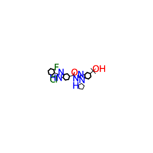 CC(C)(O)c1ccc2c(c1)nc(NC(=O)c1ccc3[nH]c(-c4c(F)cccc4Cl)nc3c1)n2C1CCCC1